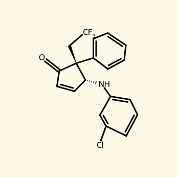 O=C1C=C[C@@H](Nc2cccc(Cl)c2)[C@@]1(CC(F)(F)F)c1ccccc1